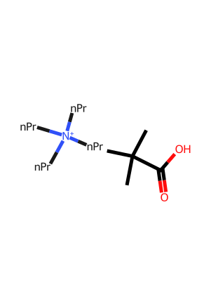 CC(C)(C)C(=O)O.CCC[N+](CCC)(CCC)CCC